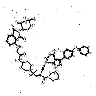 CC(C)(/C=C(\C#N)C(=O)N1CCC[C@@H](n2nc(-c3ccc(Oc4ccccc4)cc3)c3c(N)ncnc32)C1)N1CCC(NC(=O)CNc2cccc3c2C(=O)N(C2CCC(=O)NC2=O)C3=O)CC1